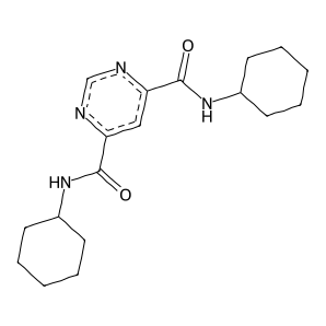 O=C(NC1CCCCC1)c1cc(C(=O)NC2CCCCC2)ncn1